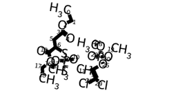 CCOC(=O)CC(SP(=S)(OC)OC)C(=O)OCC.COP(=O)(OC)OC=C(Cl)Cl